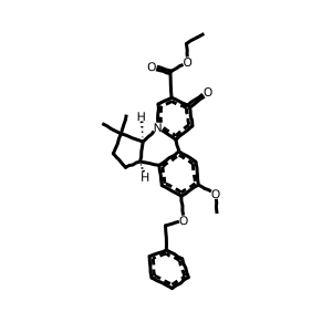 CCOC(=O)c1cn2c(cc1=O)-c1cc(OC)c(OCc3ccccc3)cc1[C@H]1CCC(C)(C)[C@H]12